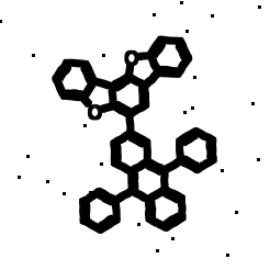 c1ccc(-c2c3ccccc3c(-c3ccccc3)c3cc(-c4cc5c6ccccc6oc5c5c4oc4ccccc45)ccc23)cc1